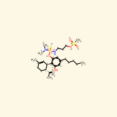 C=C(C)[C@@H]1CCC(C)=C[C@H]1c1c(O)cc(CCCCC)cc1OP(=S)(NCCCOS(C)(=O)=O)N(C)C